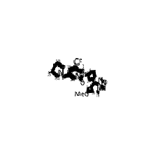 CO[C@H]1C[C@H]([C@H](c2cccc(-n3cc4c(C(F)(F)F)cc(CN5CCC[C@H](C)C5)cn4c3=O)c2)c2nncn2C)C1